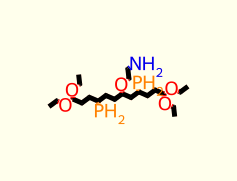 CCOC(CCC(P)CCC(CC(P)CCC(OCC)OCC)OCCN)OCC